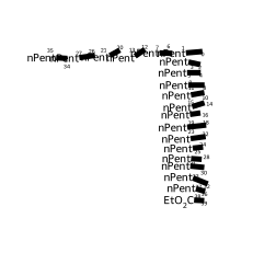 CCCCCC.CCCCCC.CCCCCC.CCCCCC.CCCCCC.CCCCCC.CCCCCC.CCCCCC.CCCCCC.CCCCCC.CCCCCC.CCCCCC.CCCCCC.CCCCCC.CCCCCC.CCCCCC.CCCCCC.CCCCCC.CCCCCC.CCOC(C)=O